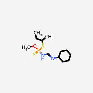 CCC(C)SP(=S)(NC=NC1CCCCC1)OC